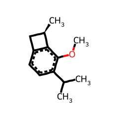 COc1c(C(C)C)ccc2c1[C@H](C)C2